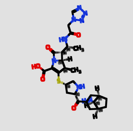 C[C@@H](NC(=O)Cn1cnnn1)[C@H]1C(=O)N2C(C(=O)O)=C(S[C@@H]3CN[C@H](C(=O)C4C[C@H]5CC[C@@H](C4)[C@H]5N)C3)[C@H](C)[C@H]12